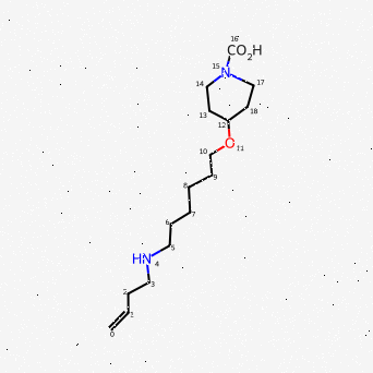 C=CCCNCCCCCCOC1CCN(C(=O)O)CC1